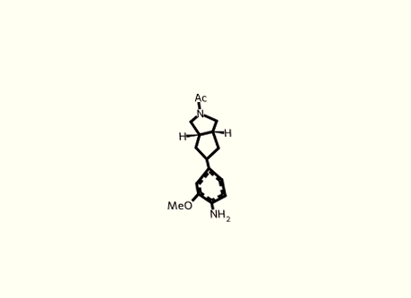 COc1cc(C2C[C@@H]3CN(C(C)=O)C[C@@H]3C2)ccc1N